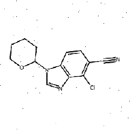 N#Cc1ccc2c(ncn2C2CCCCO2)c1Cl